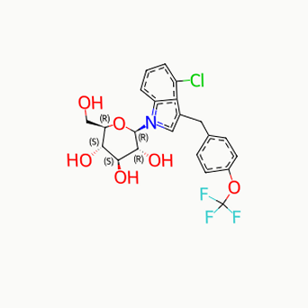 OC[C@H]1O[C@@H](n2cc(Cc3ccc(OC(F)(F)F)cc3)c3c(Cl)cccc32)[C@H](O)[C@@H](O)[C@@H]1O